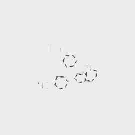 Cc1ccc(-c2c(-c3ccc(C#N)cc3)cc3cccnn23)cc1